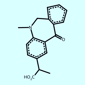 CC(C(=O)O)c1ccc2c(c1)C(=O)c1ccccc1CN2C